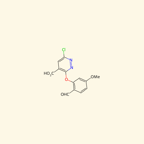 COc1ccc(C=O)c(Oc2nnc(Cl)cc2C(=O)O)c1